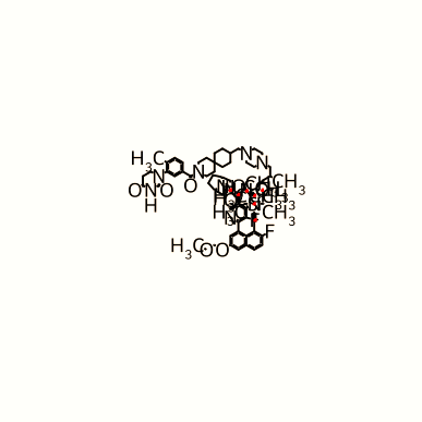 COCOc1cc(-c2ncc3c(N4CC5CCC(C4)N5C(=O)OC(C)(C)C)nc(OCC(C)CN4CCN(CC5CCC6(CC5)CCN(C(=O)c5ccc(C)c(N7CCC(=O)NC7=O)c5)CC6)CC4)nc3c2F)c2c(C#C[Si](C(C)C)(C(C)C)C(C)C)c(F)ccc2c1